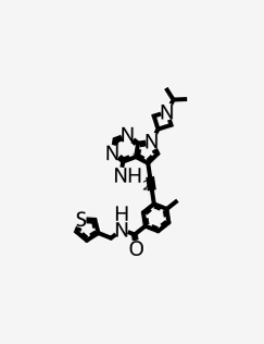 Cc1ccc(C(=O)NCc2ccsc2)cc1C#Cc1cn(C2CN(C(C)C)C2)c2ncnc(N)c12